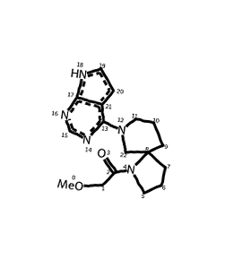 COCC(=O)N1CCCC12CCCN(c1ncnc3[nH]ccc13)C2